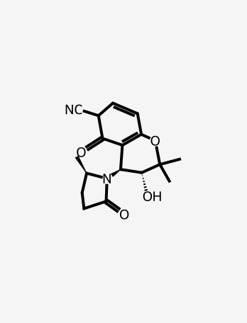 C[C@@H]1CCC(=O)N1[C@H]1C2=C(C=CC(C#N)C2=O)OC(C)(C)[C@@H]1O